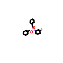 Fc1cccc(N(OCc2ccccc2)OCc2ccccc2)c1